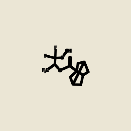 O=C(OC(C(F)(F)F)C(F)(F)SO)C12CC3CC1CC3C2